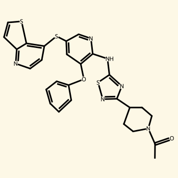 CC(=O)N1CCC(c2nsc(Nc3ncc(Sc4ccnc5ccsc45)cc3Oc3ccccc3)n2)CC1